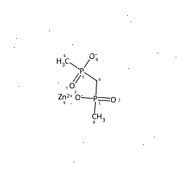 CP(=O)([O-])CP(C)(=O)[O-].[Zn+2]